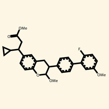 COC(=O)CC(c1ccc2c(c1)CC(c1ccc(-c3cc(OC)ccc3F)cc1)C(OC)O2)C1CC1